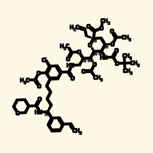 C=CC[C@]1(C(=O)OC)C[C@H](OC(C)=O)[C@@H](NC(=O)OC(C)(C)C)[C@H]([C@H](OC(C)=O)[C@@H](CNC(=O)c2cc(Cl)c(OC(C)=O)c(CCCC[C@H](NC(=O)C3CCCOC3)c3cccc(C=C)c3)c2)OC(C)=O)O1